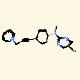 CCc1cnc(N(C)[C@H]2CC[C@H](C#CC[n+]3ccccc3)CC2)nc1